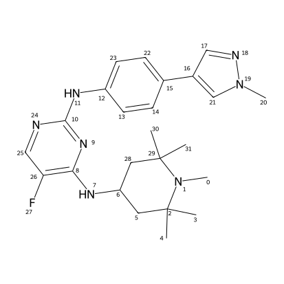 CN1C(C)(C)CC(Nc2nc(Nc3ccc(-c4cnn(C)c4)cc3)ncc2F)CC1(C)C